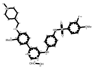 COc1ccc(S(=O)(=O)Nc2ccc(Nc3cc(-c4ccc(OCC5CCN(C)CC5)c(OC)c4)ncn3)cc2)cc1F.O=CO